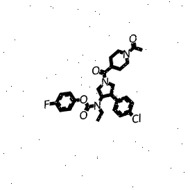 CCN(C(=O)Oc1ccc(F)cc1)C1CN(C(=O)C2CCN(C(C)=O)CC2)CC1c1ccc(Cl)cc1